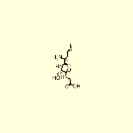 CSCC[C@H](N)C(=O)N[C@@H](CO)C(=O)NCC(=O)O